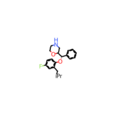 CC(C)Cc1cc(F)ccc1O[C@@H](c1ccccc1)C1CNCCO1